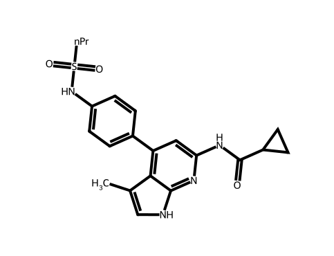 CCCS(=O)(=O)Nc1ccc(-c2cc(NC(=O)C3CC3)nc3[nH]cc(C)c23)cc1